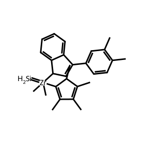 CC1=C(C)C(C)[C]([Zr]([CH3])([CH3])(=[SiH2])[CH]2C=C(c3ccc(C)c(C)c3)c3ccccc32)=C1C